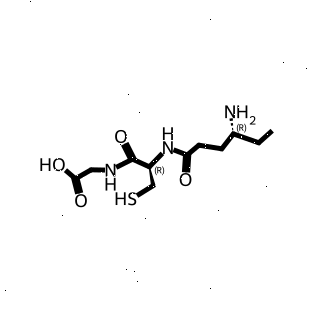 CC[C@@H](N)CCC(=O)N[C@@H](CS)C(=O)NCC(=O)O